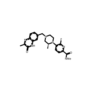 CNC(=O)c1ccc(N2CCN(Cc3ccc4nc(C)c(=O)[nH]c4c3)C[C@@H]2C)c(F)n1